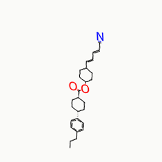 CCCc1ccc([C@H]2CC[C@H](C(=O)OC3CCC(/C=C/C=CC#N)CC3)CC2)cc1